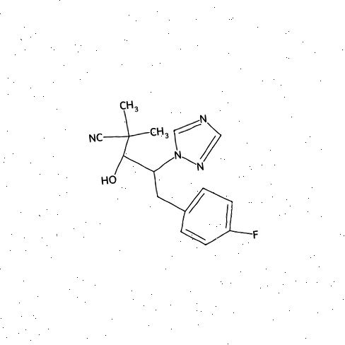 CC(C)(C#N)C(O)C(Cc1ccc(F)cc1)n1cncn1